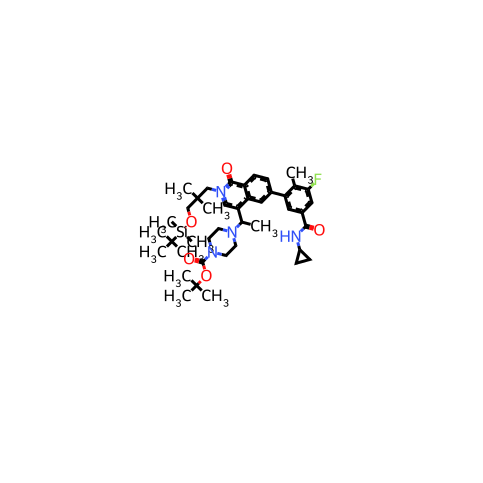 Cc1c(F)cc(C(=O)NC2CC2)cc1-c1ccc2c(=O)n(CC(C)(C)CO[Si](C)(C)C(C)(C)C)cc(C(C)N3CCN(C(=O)OC(C)(C)C)CC3)c2c1